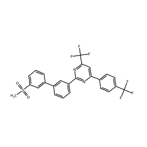 CS(=O)(=O)c1cccc(-c2cccc(-c3nc(-c4ccc(C(F)(F)F)cc4)cc(C(F)(F)F)n3)c2)c1